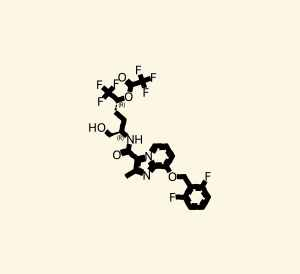 Cc1nc2c(OCc3c(F)cccc3F)cccn2c1C(=O)N[C@@H](CO)CC[C@@H](OC(=O)C(F)(F)F)C(F)(F)F